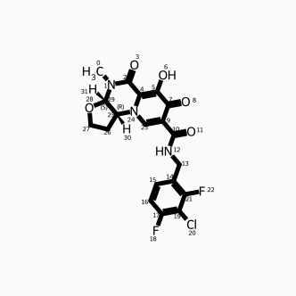 CN1C(=O)c2c(O)c(=O)c(C(=O)NCc3ccc(F)c(Cl)c3F)cn2[C@@H]2CCO[C@@H]21